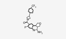 NC1N=c2cc(F)c(C(=O)N3CC(c4ccc(C(F)(F)F)cc4)C3)cc2=C2COCC21